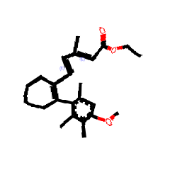 CCOC(=O)/C=C(C)/C=C/C1=C(c2c(C)cc(OC)c(C)c2C)CCCC1